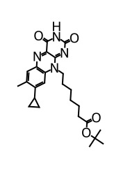 Cc1cc2nc3c(=O)[nH]c(=O)nc-3n(CCCCCCC(=O)OC(C)(C)C)c2cc1C1CC1